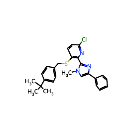 Cn1cc(-c2ccccc2)nc1-c1nc(Cl)ccc1SCc1ccc(C(C)(C)C)cc1